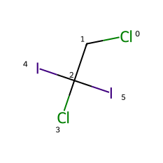 ClCC(Cl)(I)I